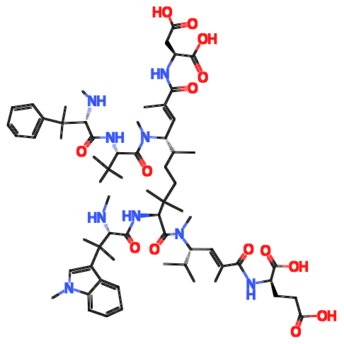 CN[C@H](C(=O)N[C@H](C(=O)N(C)[C@H](/C=C(\C)C(=O)N[C@@H](CC(=O)O)C(=O)O)C(C)CCC(C)(C)[C@H](NC(=O)[C@@H](NC)C(C)(C)c1cn(C)c2ccccc12)C(=O)N(C)[C@H](/C=C(\C)C(=O)N[C@H](CCC(=O)O)C(=O)O)C(C)C)C(C)(C)C)C(C)(C)c1ccccc1